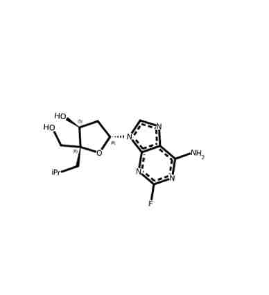 CC(C)C[C@]1(CO)O[C@@H](n2cnc3c(N)nc(F)nc32)C[C@@H]1O